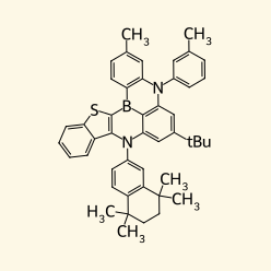 Cc1cccc(N2c3cc(C)ccc3B3c4sc5ccccc5c4N(c4ccc5c(c4)C(C)(C)CCC5(C)C)c4cc(C(C)(C)C)cc2c43)c1